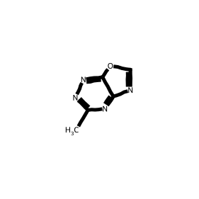 Cc1nnc2ocnc2n1